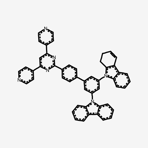 C1=Cc2c(n(-c3cc(-c4ccc(-c5nc(-c6ccncc6)cc(-c6ccncc6)n5)cc4)cc(-n4c5ccccc5c5ccccc54)c3)c3ccccc23)CC1